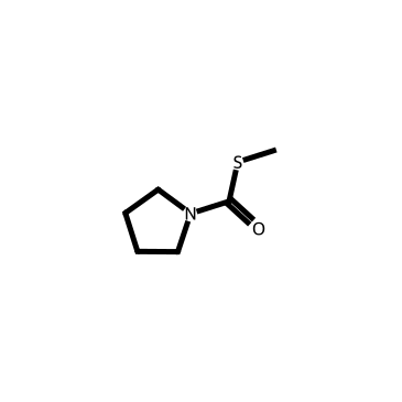 CSC(=O)N1CCCC1